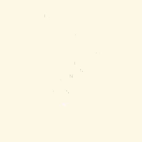 CCCCCOc1ccc(Cn2cc(C(=O)N(/C=C/c3ccccc3)[SH](=O)=O)nc2C)c(Cl)c1